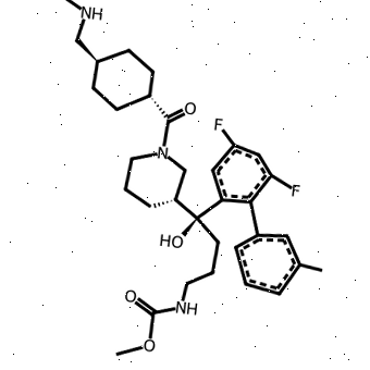 CNC[C@H]1CC[C@H](C(=O)N2CCC[C@@H]([C@@](O)(CCCNC(=O)OC)c3cc(F)cc(F)c3-c3cccc(C)c3)C2)CC1